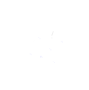 C=CCN(CC=C)C(C=C)N1CNCNC1(C(C=C)N(CC=C)CC=C)C(C=C)N(CC=C)CC=C